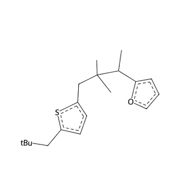 CC(c1ccco1)C(C)(C)Cc1ccc(CC(C)(C)C)s1